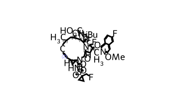 CCC(C)N(C(=O)O)[C@@H]1C(=O)N2[C@@H](C[C@@](C)(Oc3nc(OC)cc4cc(F)ccc34)C2(F)F)C(=O)N[C@]2(C(=O)NS(=O)(=O)C3(CF)CC3)C[C@H]2/C=C\CC[C@H](C)C[C@H]1C